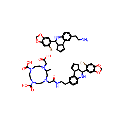 CC1CN(CC(=O)NCCc2ccc3c(c2)C2C=CCC2C(c2cc4c(cc2Br)OCO4)N3)CCN(C(=O)O)CCN(C(=O)O)CCN1CC(=O)O.NCCc1ccc2c(c1)C1C=CCC1C(c1cc3c(cc1Br)OCO3)N2